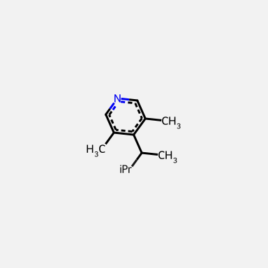 Cc1cncc(C)c1C(C)C(C)C